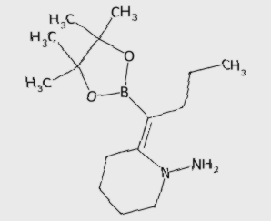 CCC/C(B1OC(C)(C)C(C)(C)O1)=C1/CCCCN1N